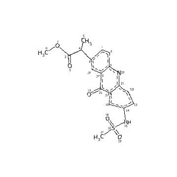 COC(=O)C(C)c1ccc2nc3ccc(NS(C)(=O)=O)cn3c(=O)c2c1